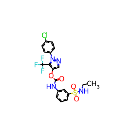 CCNS(=O)(=O)c1cccc(NC(=O)Oc2cnn(-c3ccc(Cl)cc3)c2C(F)(F)F)c1